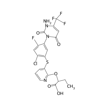 CCC(Oc1ncccc1Sc1cc(-n2c(=O)cc(C(F)(F)F)n(N)c2=O)c(F)cc1Cl)C(=O)O